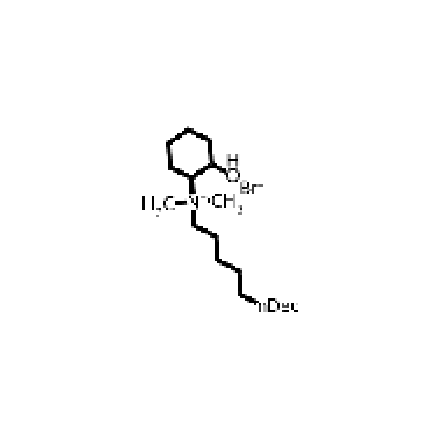 CCCCCCCCCCCCCCC[N+](C)(C)C1CCCCC1O.[Br-]